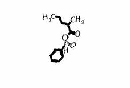 CCCC(C)C(=O)O[PH](=O)c1ccccc1